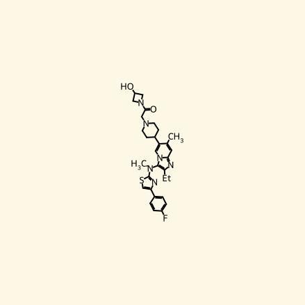 CCc1nc2cc(C)c(C3CCN(CC(=O)N4CC(O)C4)CC3)cn2c1N(C)c1nc(-c2ccc(F)cc2)cs1